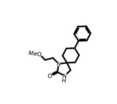 COCCN1C(=O)NCC12CCC(c1ccccc1)CC2